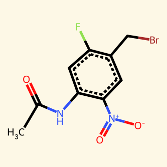 CC(=O)Nc1cc(F)c(CBr)cc1[N+](=O)[O-]